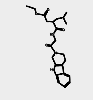 CCOC(=O)CC(CC(C)C)C(=O)NCC(=O)N1CCc2c([nH]c3ccccc23)C1